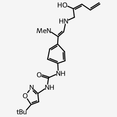 C=C/C=C(/O)CN/C=C(\NC)c1ccc(NC(=O)Nc2cc(C(C)(C)C)on2)cc1